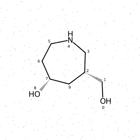 OC[C@H]1CNCC[C@@H](O)C1